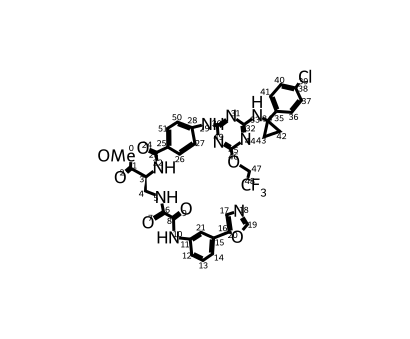 COC(=O)[C@H](CNC(=O)C(=O)Nc1cccc(-c2cnco2)c1)NC(=O)c1ccc(Nc2nc(NC3(c4ccc(Cl)cc4)CC3)nc(OCC(F)(F)F)n2)cc1